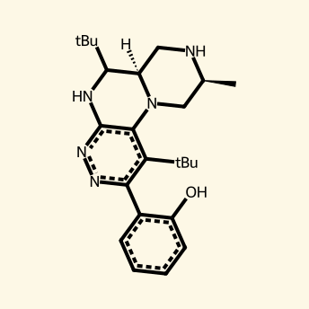 C[C@H]1CN2c3c(nnc(-c4ccccc4O)c3C(C)(C)C)NC(C(C)(C)C)[C@H]2CN1